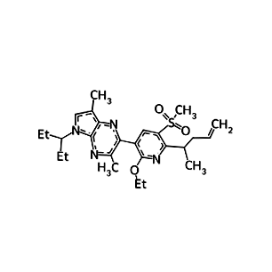 C=CCC(C)c1nc(OCC)c(-c2nc3c(C)cn(C(CC)CC)c3nc2C)cc1S(C)(=O)=O